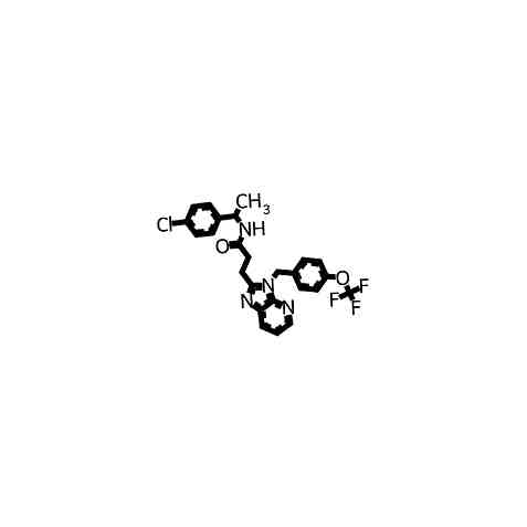 CC(NC(=O)CCc1nc2cccnc2n1Cc1ccc(OC(F)(F)F)cc1)c1ccc(Cl)cc1